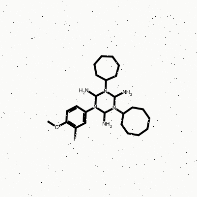 COc1ccc(N2C(N)N(C3CCCCCCC3)C(N)N(C3CCCCCC3)C2N)cc1F